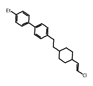 CCc1ccc(-c2ccc(CCC3CCC(/C=C/Cl)CC3)cc2)cc1